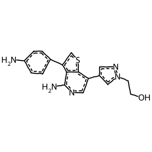 Nc1ccc(-c2csc3c(-c4cnn(CCO)c4)cnc(N)c23)cc1